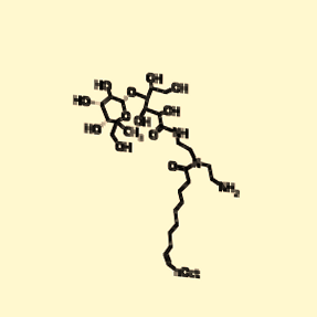 CCCCCCCC/C=C\CCCCCCCC(=O)N(CCN)CCNC(=O)C(O)C(O)C(O[C@@H]1OC(C)(CO)[C@H](O)[C@H](O)C1O)C(O)CO